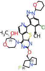 C#Cc1c(Cl)cc2c(cnn2C2CCCCO2)c1-c1nccc2c1sc1nc(OC[C@@]34CCCN3C[C@H](F)C4)nc(N3CCOC[C@@](C)(O)C3)c12